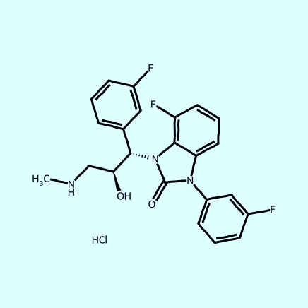 CNC[C@H](O)[C@H](c1cccc(F)c1)n1c(=O)n(-c2cccc(F)c2)c2cccc(F)c21.Cl